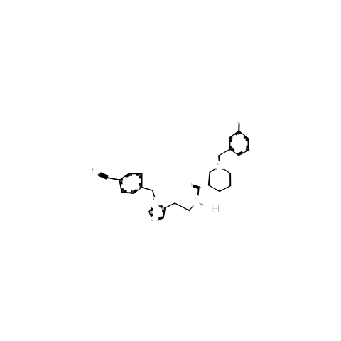 CN(CCc1cncn1Cc1ccc(C#N)cc1)C(=O)[C@H]1CCCN(Cc2cccc(Br)c2)C1